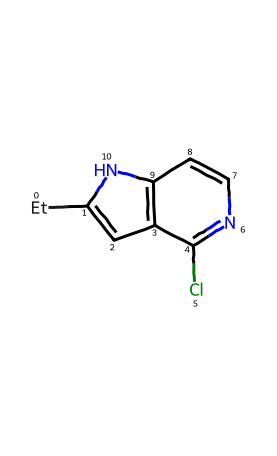 CCc1cc2c(Cl)nccc2[nH]1